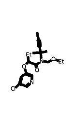 CC#CC(C)(C)N(COCC)C(=O)C(CC)Oc1cncc(Cl)c1